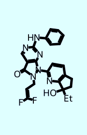 CCC1(O)CCc2ccc(-n3c4nc(Nc5ccccc5)ncc4c(=O)n3CC=C(F)F)nc21